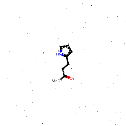 COC(=O)CCc1ccc[nH]1